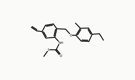 C=Cc1ccc(COc2ccc(CC)cc2C)c(NC(=O)SC)c1